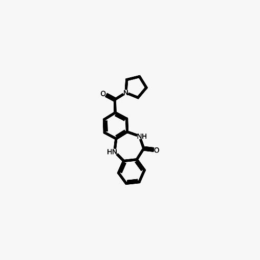 O=C1Nc2cc(C(=O)N3CCCC3)ccc2Nc2ccccc21